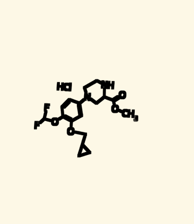 COC(=O)C1CN(c2ccc(OC(F)F)c(OCC3CC3)c2)CCN1.Cl